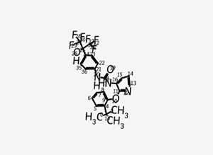 CC(C)(C)c1ccccc1Oc1ncccc1NC(=O)Nc1ccc(C(O)(C(F)(F)F)C(F)(F)F)cc1